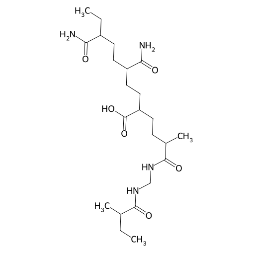 CCC(C)C(=O)NCNC(=O)C(C)CCC(CCC(CCC(CC)C(N)=O)C(N)=O)C(=O)O